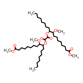 CCCCCCCCC(OC(=O)C(=O)OC(CCCCCCCC)C(CCCCCCCC(=O)OC)OC)C(CCCCCCCC(=O)OC)OC